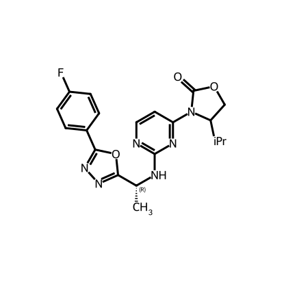 CC(C)C1COC(=O)N1c1ccnc(N[C@H](C)c2nnc(-c3ccc(F)cc3)o2)n1